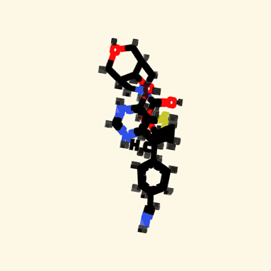 CC1(OC(=O)N2CC3COCC(C2)C3Oc2ncnc3c(-c4ccc(C#N)cc4)csc23)CC1